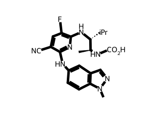 CC(C)[C@@H](Nc1nc(Nc2ccc3c(cnn3C)c2)c(C#N)cc1F)[C@H](C)NC(=O)O